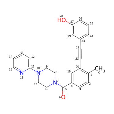 Cc1ccc(C(=O)N2CCN(c3ccccn3)CC2)cc1C#Cc1cccc(O)c1